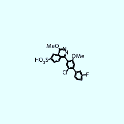 COc1cc(-c2cccc(F)c2)c(Cl)cc1-c1nnc(OC)c2cc(S(=O)(=O)O)ccc12